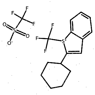 FC(F)(F)[s+]1c(C2CCCCC2)cc2ccccc21.O=S(=O)([O-])C(F)(F)F